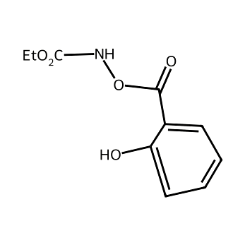 CCOC(=O)NOC(=O)c1ccccc1O